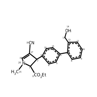 CCOC(=O)C1C(c2ccc(-c3ccccc3CO)cc2)C(C#N)=CN1C